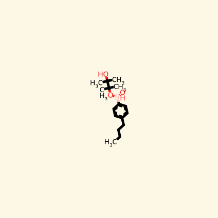 CCCCc1ccc(B(O)OC(C)(C)C(C)(C)O)cc1